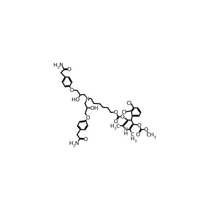 COC(=O)OC1=C(C)NC(C)=C(OC(=O)OCCCCCCN(CC(O)COc2ccc(CC(N)=O)cc2)CC(O)COc2ccc(CC(N)=O)cc2)C1c1cccc(Cl)c1Cl